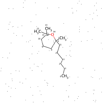 CCCCCCC1(C)CCC[Si](C)(C)O1